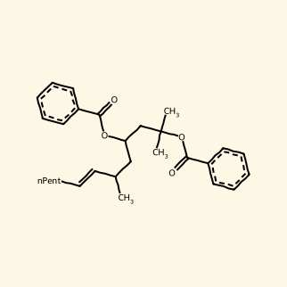 CCCCCC=CC(C)CC(CC(C)(C)OC(=O)c1ccccc1)OC(=O)c1ccccc1